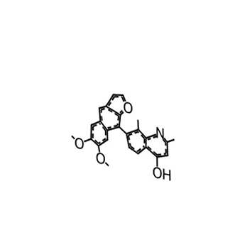 COc1cc2cc3ccoc3c(-c3ccc4c(O)cc(C)nc4c3C)c2cc1OC